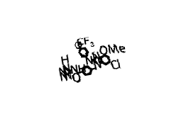 COc1cc(Cl)cc2c1n(C)/c(=N\c1ccc(OC(F)(F)F)cc1)n2Cc1ccc(C(=O)Nc2nnn[nH]2)cc1